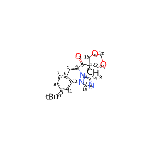 CC1(C(=O)C(=Cc2ccc(C(C)(C)C)cc2)n2cncn2)COCOC1